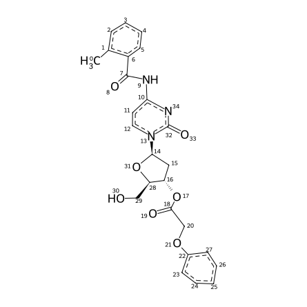 Cc1ccccc1C(=O)Nc1ccn([C@H]2C[C@H](OC(=O)COc3ccccc3)[C@@H](CO)O2)c(=O)n1